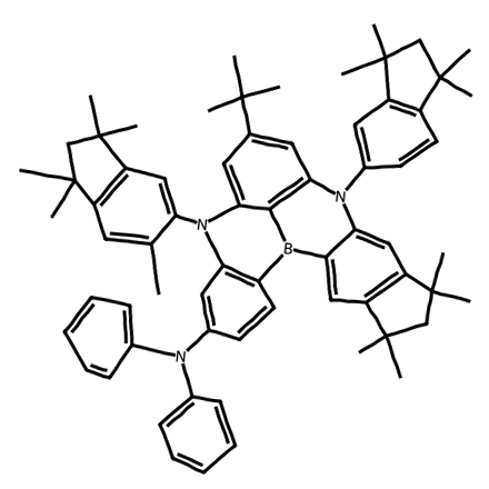 Cc1cc2c(cc1N1c3cc(N(c4ccccc4)c4ccccc4)ccc3B3c4cc5c(cc4N(c4ccc6c(c4)C(C)(C)CC6(C)C)c4cc(C(C)(C)C)cc1c43)C(C)(C)CC5(C)C)C(C)(C)CC2(C)C